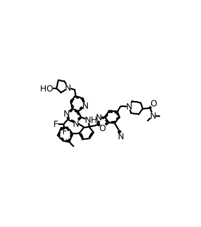 Cc1ccccc1C1=CC=CC(Nc2nc(C(F)F)nc3cc(CN4CCC(O)C4)cnc23)(c2nc3cc(CN4CCC(C(=O)N(C)C)CC4)cc(C#N)c3o2)C1C